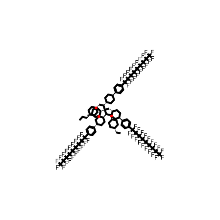 CCC[C@H]1CC[C@H](CC([C@H]2CC[C@H](c3ccc(C(F)(F)C(F)(F)C(F)(F)C(F)(F)C(F)(F)C(F)(F)C(F)(F)C(F)(F)C(F)(F)F)cc3)CC2)C(C[C@H]2CC[C@H](c3ccc(C(F)(F)C(F)(F)C(F)(F)C(F)(F)C(F)(F)C(F)(F)C(F)(F)C(F)(F)C(F)(F)F)cc3)CC2)(C(C[C@H]2CC[C@H](CC)CC2)[C@H]2CC[C@H](c3ccc(C(F)(F)C(F)(F)C(F)(F)C(F)(F)C(F)(F)C(F)(F)C(F)(F)C(F)(F)C(F)(F)F)cc3)CC2)[C@H]2CC[C@H](C)CC2)CC1